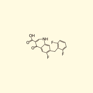 O=C(O)c1c[nH]c2cc(Cc3c(F)cccc3F)c(F)cc2c1=O